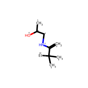 C=C(NCC(C)O)C(C)(C)CC